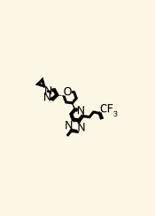 C=C(CCc1nc([C@@H]2CCO[C@@H](c3cnn(C4CC4)c3)C2)cc2nc(C)cnc12)C(F)(F)F